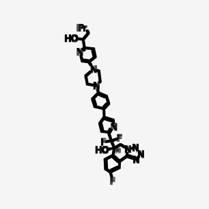 CC(C)CC(O)c1ccc(N2CCN(c3ccc(-c4ccc(C(F)(F)[C@]5(O)Cn6nnnc6-c6cc(F)ccc65)nc4)cc3)CC2)cn1